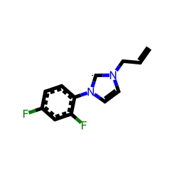 C=CCN1[CH]N(c2ccc(F)cc2F)C=C1